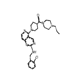 CCCN1CCN(C(=O)C2CCN(c3nccc4nc(NCc5ccccc5Cl)ncc34)CC2)CC1